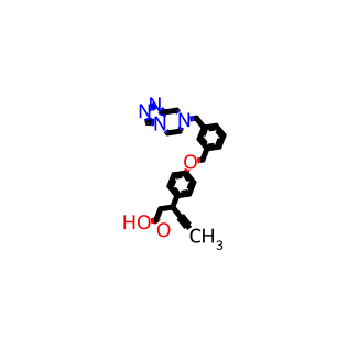 CC#CC(CC(=O)O)c1ccc(OCc2cccc(CN3CCn4cnnc4C3)c2)cc1